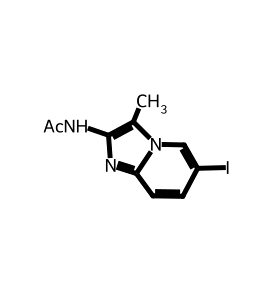 CC(=O)Nc1nc2ccc(I)cn2c1C